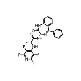 C[C@@H](Nc1c(F)c(F)nc(F)c1F)C(=O)N[C@H]1N=C(c2ccccc2)c2ccccc2NC1=O